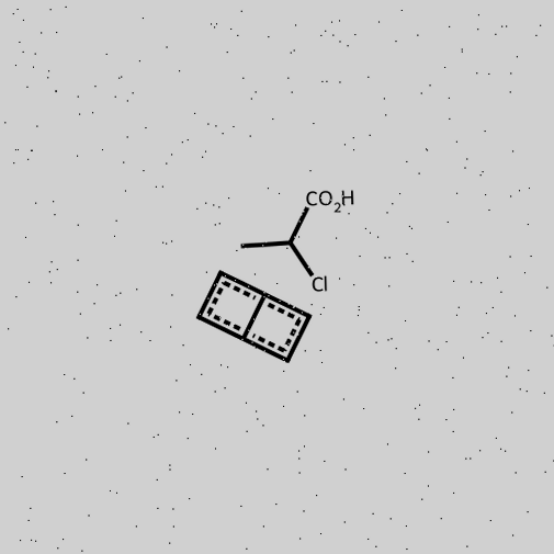 CC(Cl)C(=O)O.c1cc2ccc1-2